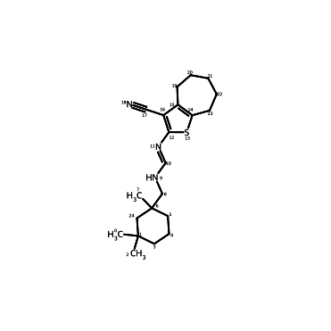 CC1(C)CCCC(C)(CN/C=N/c2sc3c(c2C#N)CCCCC3)C1